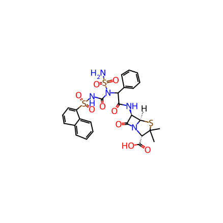 CC1(C)S[C@@H]2[C@H](NC(=O)C(c3ccccc3)N(C(=O)NS(=O)(=O)c3cccc4ccccc34)S(N)(=O)=O)C(=O)N2[C@H]1C(=O)O